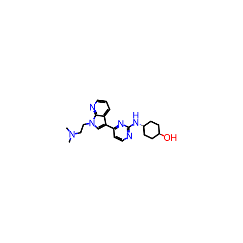 CN(C)CCn1cc(-c2ccnc(N[C@H]3CC[C@H](O)CC3)n2)c2cccnc21